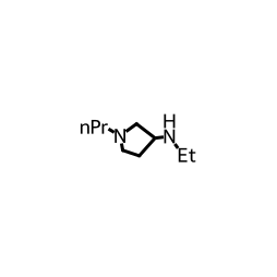 CCCN1CCC(NCC)C1